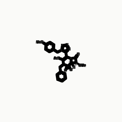 COc1ccc(Cn2nnnc2C2=C(OC(C)=O)C(Cc3ccccc3)S(=O)(=O)[C@H]3[C@@H](OC)C(=O)N23)cc1